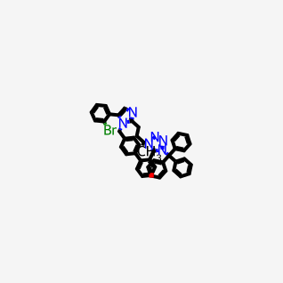 CCCCc1ncc(-c2ccccc2Br)n1Cc1ccc(-c2ccccc2-c2nnnn2C(c2ccccc2)(c2ccccc2)c2ccccc2)cc1